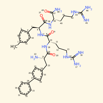 Cc1ccc(C[C@H](NC(=O)[C@H](CCCNC(=N)N)NC(=O)[C@@H](N)Cc2ccc(-c3ccccc3)cc2)C(=O)N[C@@H](CCCNC(=N)N)C(N)=O)cc1